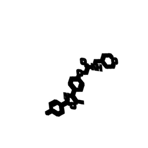 Cc1ccc(-c2nc(-c3ccc(OCC(=O)NCC4CCOCC4)cc3)c(C)o2)cc1